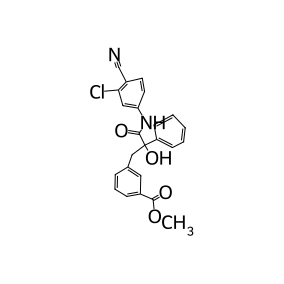 COC(=O)c1cccc(CC(O)(C(=O)Nc2ccc(C#N)c(Cl)c2)c2ccccc2)c1